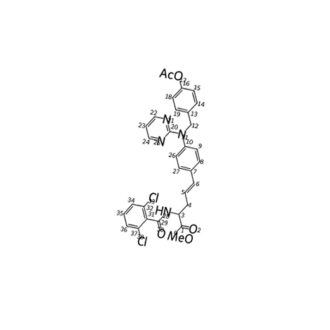 COC(=O)C(CC=Cc1ccc(N(Cc2ccc(OC(C)=O)cc2)c2ncccn2)cc1)NC(=O)c1c(Cl)cccc1Cl